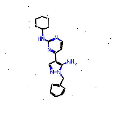 Nc1c(-c2ccnc(NC3CCCCC3)n2)cnn1Cc1ccccc1